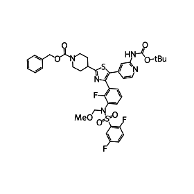 COCN(c1cccc(-c2nc(C3CCN(C(=O)OCc4ccccc4)CC3)sc2-c2ccnc(NC(=O)OC(C)(C)C)c2)c1F)S(=O)(=O)c1cc(F)ccc1F